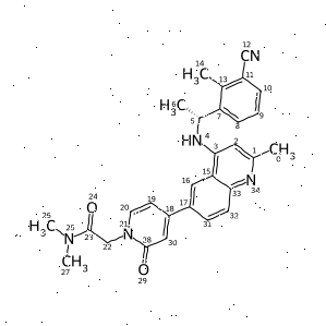 Cc1cc(N[C@H](C)c2cccc(C#N)c2C)c2cc(-c3ccn(CC(=O)N(C)C)c(=O)c3)ccc2n1